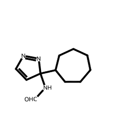 O=CNC1(C2CCCCCC2)C=CN=N1